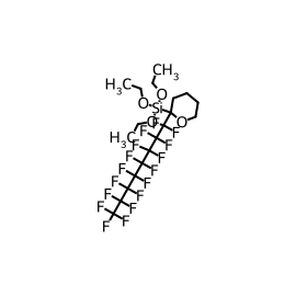 CCO[Si](OCC)(OCC)C1(C(F)(F)C(F)(F)C(F)(F)C(F)(F)C(F)(F)C(F)(F)C(F)(F)C(F)(F)F)CCCCO1